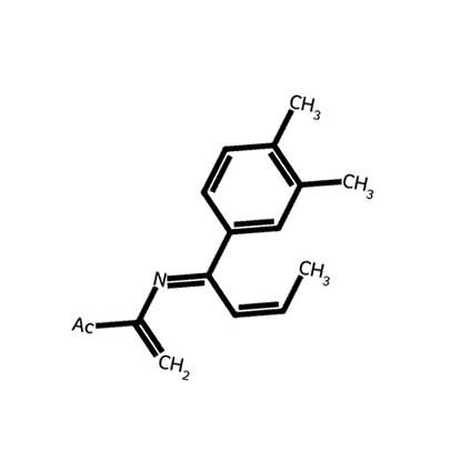 C=C(/N=C(\C=C/C)c1ccc(C)c(C)c1)C(C)=O